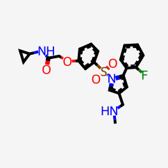 CNCc1cc(-c2ccccc2F)n(S(=O)(=O)c2cccc(OCC(=O)NC3CC3)c2)c1